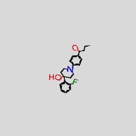 CCCC(=O)c1ccc(N2CCC(O)(c3ccccc3F)CC2)cc1